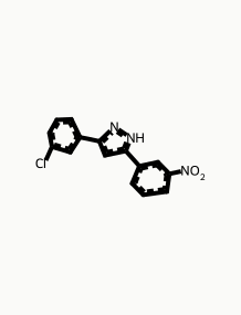 O=[N+]([O-])c1cccc(-c2cc(-c3cccc(Cl)c3)n[nH]2)c1